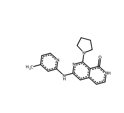 Cc1ccnc(Nc2cc3cc[nH]c(=O)c3c(N3CCCC3)n2)c1